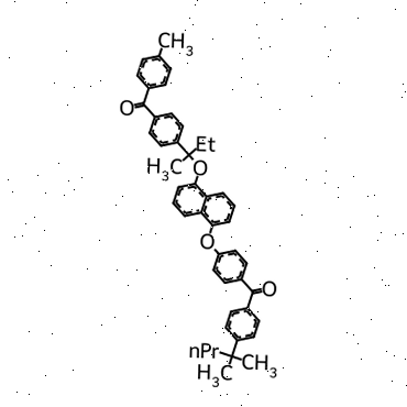 CCCC(C)(C)c1ccc(C(=O)c2ccc(Oc3cccc4c(OC(C)(CC)c5ccc(C(=O)c6ccc(C)cc6)cc5)cccc34)cc2)cc1